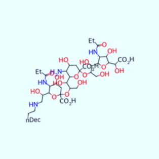 CCCCCCCCCCCCNCC(O)C1OC(OC(CO)C(O)C2OC(OC(CO)C(O)C3OC(C(O)C(=O)O)C(O)C3NC(=O)CC)(C(=O)O)CC(O)C2N)(C(=O)O)CC(O)C1NC(=O)CC